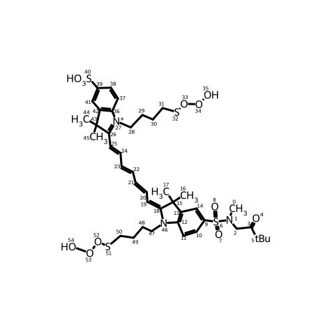 CN(CC(=O)C(C)(C)C)S(=O)(=O)c1ccc2c(c1)C(C)(C)\C(=C/C=C/C=C/C=C/C1=[N+](CCCCSOOO)c3ccc(S(=O)(=O)O)cc3C1(C)C)N2CCCCSOOO